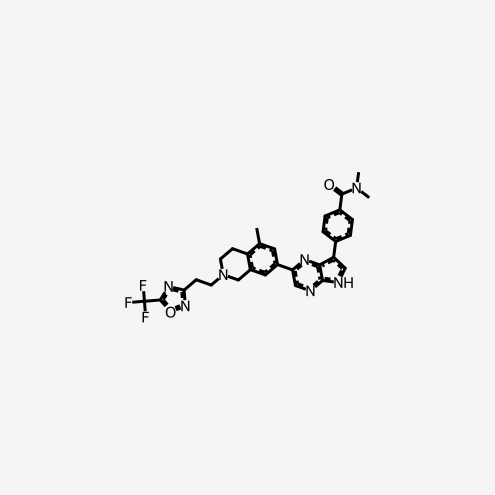 Cc1cc(-c2cnc3[nH]cc(-c4ccc(C(=O)N(C)C)cc4)c3n2)cc2c1CCN(CCc1noc(C(F)(F)F)n1)C2